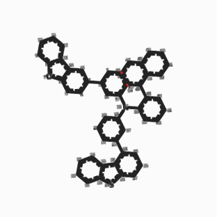 c1cc(-c2ccc3oc4ccccc4c3c2)cc(N(c2cccc(-c3cccc4sc5ccccc5c34)c2)c2ccccc2-c2cccc3ccccc23)c1